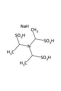 CC(N(C(C)S(=O)(=O)O)C(C)S(=O)(=O)O)S(=O)(=O)O.[NaH]